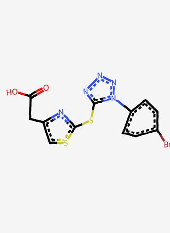 O=C(O)Cc1csc(Sc2nnnn2-c2ccc(Br)cc2)n1